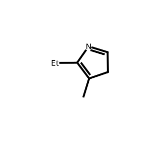 CCC1=C(C)CC=N1